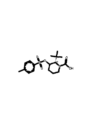 Cc1ccc(S(=O)(=O)OC2CCCN(C(=O)O)[C@H]2C(C)(C)C)cc1